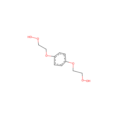 OOCCOc1ccc(OCCOO)cc1